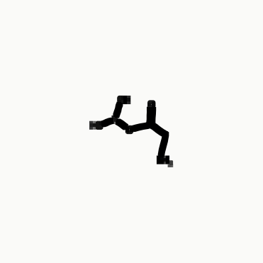 NCC(=O)OP(O)O